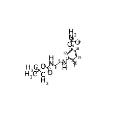 CC(C)(C)OC(=O)NCCNc1cc(OC(N)=O)ccc1F